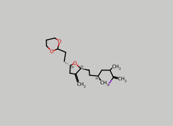 C=C(I)C(C)C[C@@H](C)CC[C@@H]1O[C@@H](CCC2OCCCO2)CC1=C